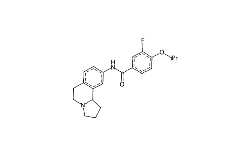 CC(C)Oc1ccc(C(=O)Nc2ccc3c(c2)C2CCCN2CC3)cc1F